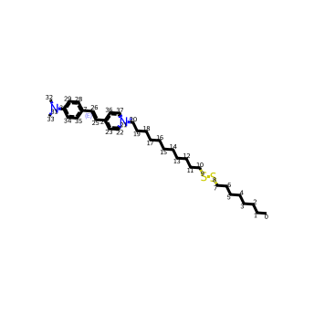 CCCCCCCCSSCCCCCCCCCCC[n+]1ccc(/C=C/c2ccc(N(C)C)cc2)cc1